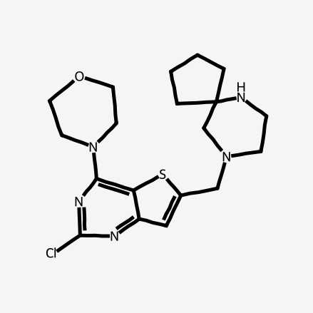 Clc1nc(N2CCOCC2)c2sc(CN3CCNC4(CCCC4)C3)cc2n1